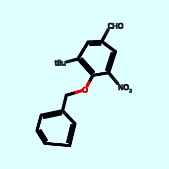 CC(C)(C)c1cc(C=O)cc([N+](=O)[O-])c1OCc1ccccc1